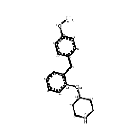 FC(F)(F)Oc1ccc(Cc2ccccc2OC2CCNCC2)cc1